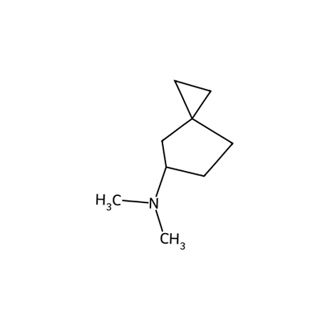 CN(C)C1CCC2(CC2)C1